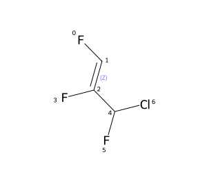 F/C=C(\F)C(F)Cl